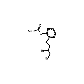 CNC(=O)Oc1ccccc1CCC(Br)CBr